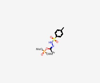 COP(=O)(OC)OC(=NNS(=O)(=O)c1ccc(C)cc1)C(C)C